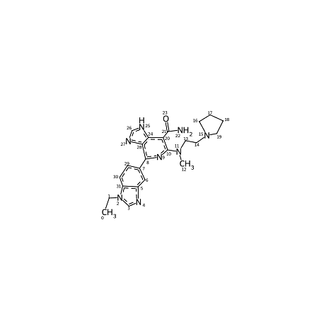 CCn1cnc2cc(-c3nc(N(C)CCN4CCCC4)c(C(N)=O)c4[nH]cnc34)ccc21